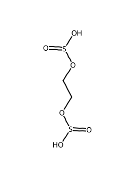 O=S(O)OCCOS(=O)O